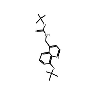 CC(C)(C)OC(=O)NCc1ccnc2c(SC(C)(C)C)cccc12